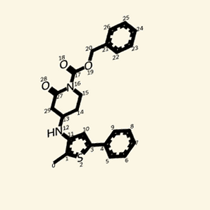 Cc1sc(-c2ccccc2)cc1NC1CCN(C(=O)OCc2ccccc2)C(=O)C1